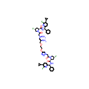 N/C(=C\N(N)CC(=O)N1C[C@H](F)C[C@H]1C(=O)N[C@@H](c1ccccc1)c1ccc(C2CC2)c(F)n1)COCCOc1cn(CC(=O)N2C[C@H](F)C[C@H]2C(=O)N[C@@H](c2ccccc2)c2ccc(C3CC3)c(F)n2)nn1